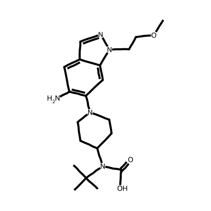 COCCn1ncc2cc(N)c(N3CCC(N(C(=O)O)C(C)(C)C)CC3)cc21